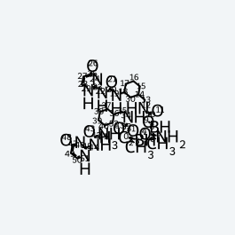 CC(C)(BOC(C)(N)BOC(=O)NCC1CCCC(NC(=O)Nc2nc(=O)cc[nH]2)C1)OC(=O)NCC1CCCC(NC(=O)Nc2nc(=O)cc[nH]2)C1